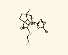 O=C(N[C@@H]1[C@@H]2CC[C@H]1CN(c1nnc(Br)s1)C2)OCCCl